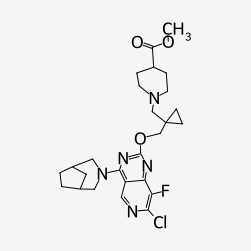 COC(=O)C1CCN(CC2(COc3nc(N4CC5CCC(C5)C4)c4cnc(Cl)c(F)c4n3)CC2)CC1